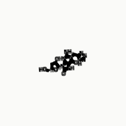 Nc1nc2c([nH]c(=O)n2[C@@H]2O[C@H](CO)C[C@H]2O)c(=O)n1Cc1nnn[nH]1